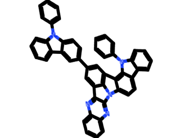 c1ccc(-n2c3ccccc3c3cc(-c4cc5c6nc7ccccc7nc6n6c7ccc8c9ccccc9n(-c9ccccc9)c8c7c(c4)c56)ccc32)cc1